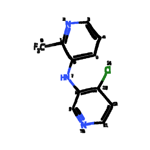 FC(F)(F)c1ncccc1Nc1cnccc1Cl